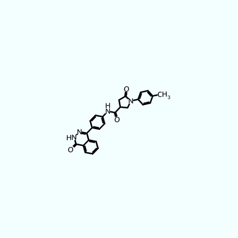 Cc1ccc(N2CC(C(=O)Nc3ccc(-c4n[nH]c(=O)c5ccccc45)cc3)CC2=O)cc1